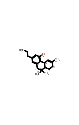 CCCc1cc(O)c2c(c1)CC(C)(C)C1CCC(C)=CC21